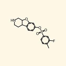 Cc1ccc(S(=O)(=O)Oc2ccc3c(c2)OC2CNCCC32)cc1F